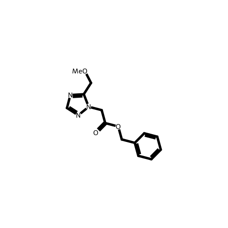 COCc1ncnn1CC(=O)OCc1ccccc1